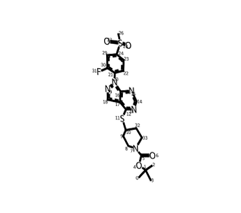 CC(C)(C)OC(=O)N1CCC(Sc2ncnc3c2cnn3-c2ccc(S(C)(=O)=O)cc2F)CC1